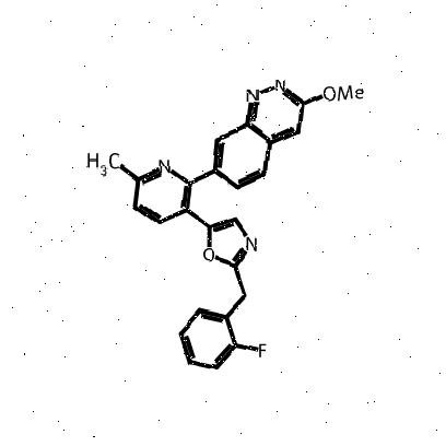 COc1cc2ccc(-c3nc(C)ccc3-c3cnc(Cc4ccccc4F)o3)cc2nn1